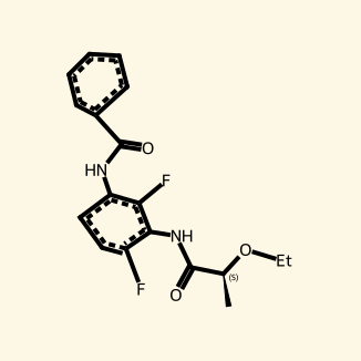 CCO[C@@H](C)C(=O)Nc1c(F)ccc(NC(=O)c2ccccc2)c1F